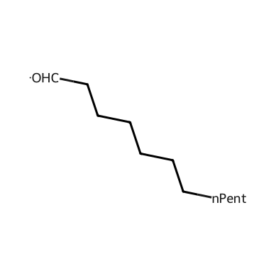 [CH2]CCCCCCCCCC[C]=O